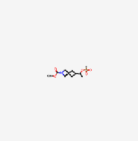 CC(OS(C)(=O)=O)C1CC2(C1)CN(C(=O)OC(C)(C)C)C2